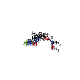 COCCN(C)CCCCOc1ccc([C@H]2CCC[C@H]3CN(C(=O)c4cnc(C(F)(F)F)nc4)CCN32)c(C)c1C